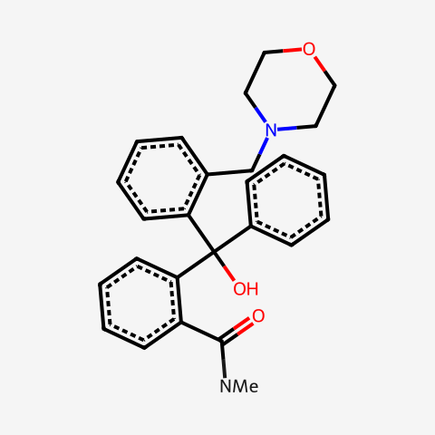 CNC(=O)c1ccccc1C(O)(c1ccccc1)c1ccccc1CN1CCOCC1